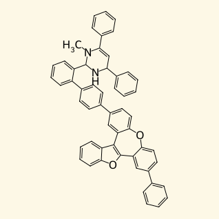 CN1C(c2ccccc2)=CC(c2ccccc2)NC1c1ccccc1-c1ccc(-c2ccc3c(c2)-c2c(oc4ccccc24)-c2cc(-c4ccccc4)ccc2O3)cc1